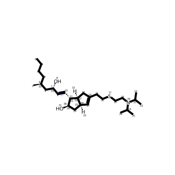 CCCC[C@H](C)C[C@H](O)/C=C/[C@@H]1[C@H]2CC(CCSCCN(C(C)C)C(C)C)=C[C@H]2C[C@H]1O